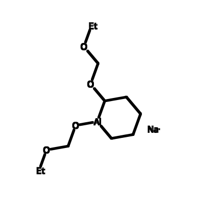 CCOCO[CH]1CCC[CH2][Al]1[O]COCC.[Na]